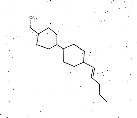 CCCC=CC1CCC(C2CCC(CO)CC2)CC1